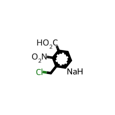 O=C(O)c1cccc(CCl)c1[N+](=O)[O-].[NaH]